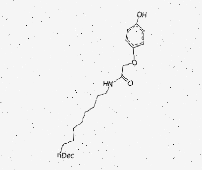 CCCCCCCCCCCCCCCCCCNC(=O)COc1ccc(O)cc1